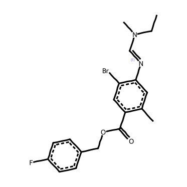 CCN(C)/C=N/c1cc(C)c(C(=O)OCc2ccc(F)cc2)cc1Br